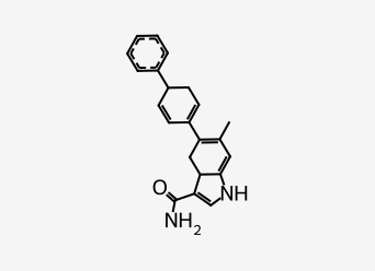 CC1=C(C2=CCC(c3ccccc3)C=C2)CC2C(=C1)NC=C2C(N)=O